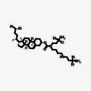 CC[C@H](CC[C@@H](C)[C@H]1CC[C@H]2[C@@H]3CC=C4C[C@@H](OC(=O)N(CCCCNCCC(N)(CC)CC)CCC(N)(CC)CC)CC[C@]4(C)[C@H]3CC[C@]12C)C(C)C